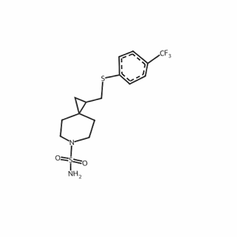 NS(=O)(=O)N1CCC2(CC1)CC2CSc1ccc(C(F)(F)F)cc1